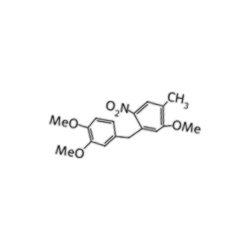 COc1cc(Cc2ccc(OC)c(OC)c2)c([N+](=O)[O-])cc1C